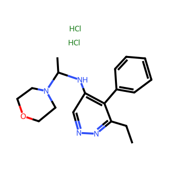 CCc1nncc(NC(C)N2CCOCC2)c1-c1ccccc1.Cl.Cl